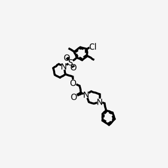 Cc1cc(S(=O)(=O)N2CCCCC2COCC(=O)N2CCN(Cc3ccccc3)CC2)c(C)cc1Cl